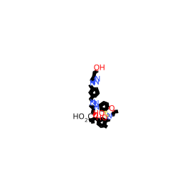 Cc1ccc(C(OCc2cn(Cc3cccc(Cn4cc(CCO)nn4)c3)nn2)C(C)(C)C(=O)O)cc1CN1CC(C)Oc2ccccc2S1(O)O